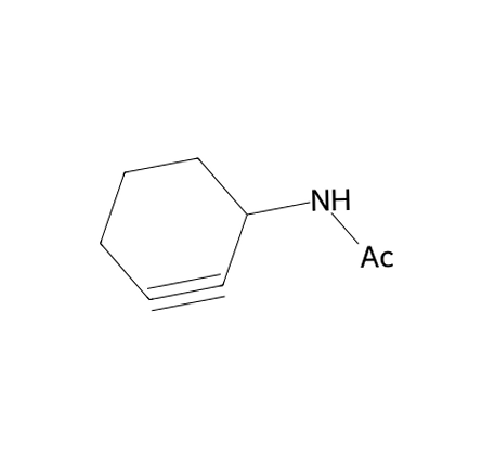 CC(=O)NC1C#CCCC1